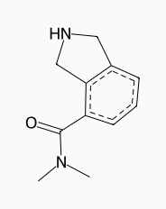 CN(C)C(=O)c1cccc2c1CNC2